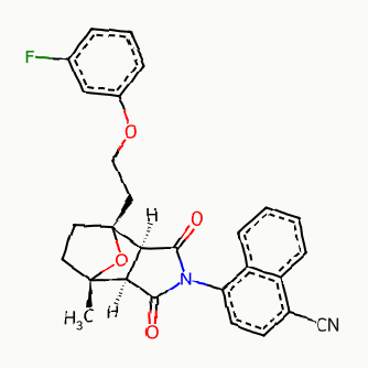 C[C@@]12CC[C@@](CCOc3cccc(F)c3)(O1)[C@H]1C(=O)N(c3ccc(C#N)c4ccccc34)C(=O)[C@H]12